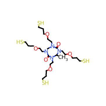 CC1N(CCOCCCS)C(=O)N(CCOCCCS)CN(CCOCCCS)C(=O)N1CCOCCCS